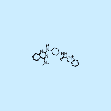 CN(C)c1nc(N[C@H]2CC[C@@H](NC(=S)NCc3ccccc3F)CC2)nc2ccccc12